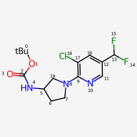 CC(C)(C)OC(=O)NC1CCN(c2ncc(C(F)F)cc2Cl)C1